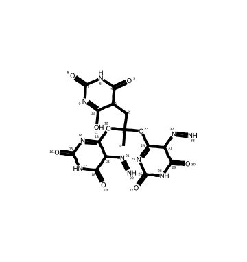 CC(CC1C(=O)NC(=O)N=C1O)(OC1=NC(=O)NC(=O)C1N=N)OC1=NC(=O)NC(=O)C1N=N